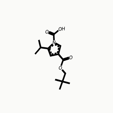 CC(C)c1cc(C(=O)OCC(C)(C)C)cn1C(=O)O